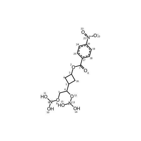 O=C(OC1CC(C(CON(O)O)ON(O)O)C1)c1ccc([N+](=O)[O-])cc1